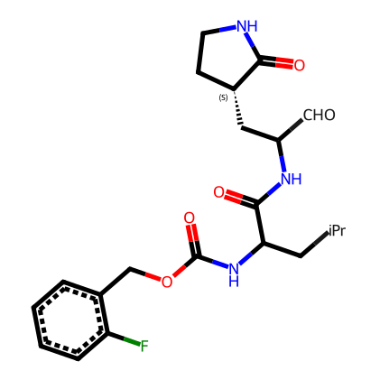 CC(C)CC(NC(=O)OCc1ccccc1F)C(=O)NC(C=O)C[C@@H]1CCNC1=O